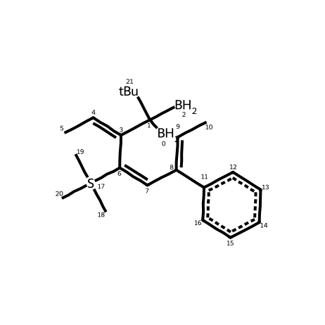 BC(B)(C(=C/C)/C(=C\C(=C\C)c1ccccc1)S(C)(C)C)C(C)(C)C